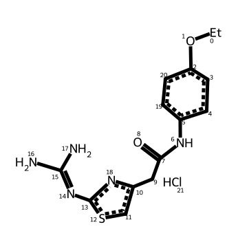 CCOc1ccc(NC(=O)Cc2csc(N=C(N)N)n2)cc1.Cl